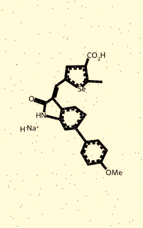 COc1ccc(-c2ccc3c(c2)NC(=O)C3=Cc2cc(C(=O)O)c(C)[se]2)cc1.[H-].[Na+]